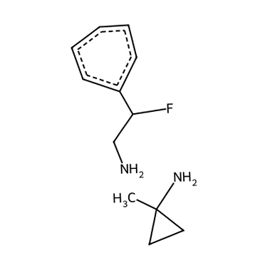 CC1(N)CC1.NCC(F)c1ccccc1